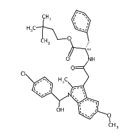 COc1ccc2c(c1)c(CC(=O)N[C@@H](Cc1ccccc1)C(=O)OCCC(C)(C)C)c(C)n2C(O)c1ccc(Cl)cc1